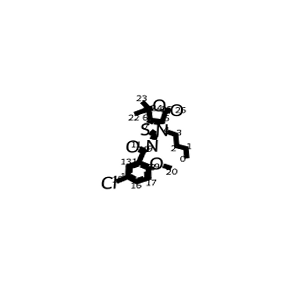 CCCCn1c2c(s/c1=N\C(=O)c1cc(Cl)ccc1OC)C(C)(C)OC2=O